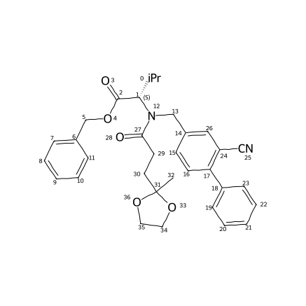 CC(C)[C@@H](C(=O)OCc1ccccc1)N(Cc1ccc(-c2ccccc2)c(C#N)c1)C(=O)CCC1(C)OCCO1